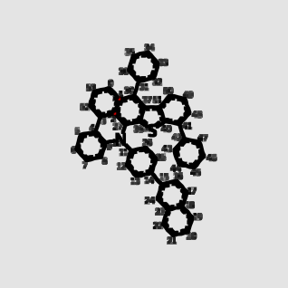 c1ccc(-c2ccccc2N(c2ccc(-c3ccc4ccccc4c3)cc2)c2ccc(-c3ccccc3)c3c2sc2c(-c4ccccc4)cccc23)cc1